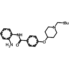 CC(C)(C)CN1CCC(Oc2ccc(C(=O)Nc3ccccc3N)cc2)CC1